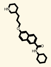 O=C(NC1CCCCC1)c1ccc2cc(OCCCC3CCCNC3)ccc2c1